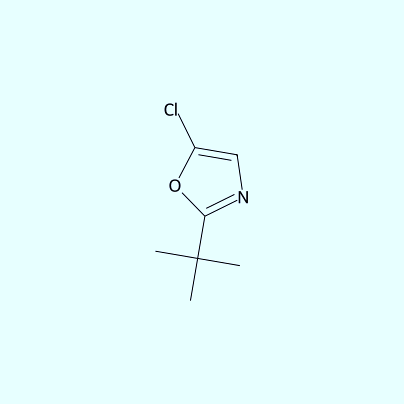 CC(C)(C)c1ncc(Cl)o1